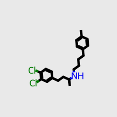 Cc1ccc(CCCCNC(C)CCc2ccc(Cl)c(Cl)c2)cc1